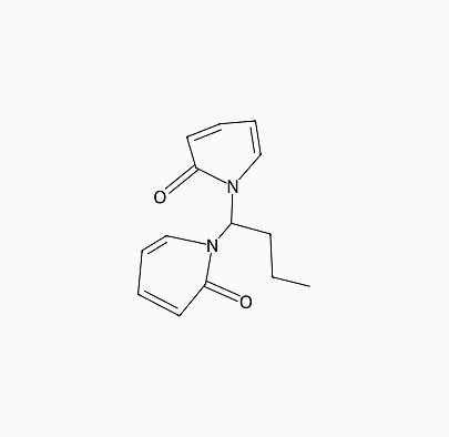 CCCC(n1ccccc1=O)n1ccccc1=O